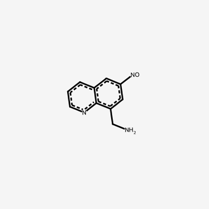 NCc1cc(N=O)cc2cccnc12